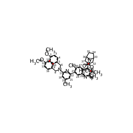 COc1ccc(CN(Cc2ccc(OC)cc2)c2cc(C)cc(-c3cc4nc(F)nc(N5CC6CCC(C5)N6C(=O)OC(C)(C)C)c4cc3Cl)n2)cc1